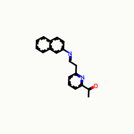 CC(=O)c1cccc(CC=Nc2ccc3ccccc3c2)n1